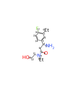 CCc1cc(C(N)CC(=O)N(CC)CCO)ccc1F